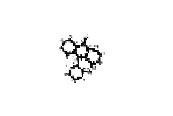 O=c1c2ccccc2n2c3c(cccc13)Sc1ccccc1-2